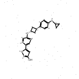 Oc1cc(-c2cnc(O[C@H]3C[C@H](c4ccc(OC5CC5)cc4)C3)cn2)on1